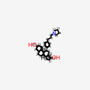 C[C@]12C[C@H](c3ccc(CCCN4CCCC4)cc3)[C@@H]3c4ccc(O)cc4CC[C@H]3[C@@H]1CC[C@@H]2O